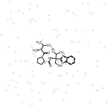 CC(C)[C@H](N)C(=O)N1CCC[C@H]1C(=O)N[C@@](CO)(c1nc2ccccc2o1)C(C)C